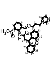 C[S+]([O-])c1cccc(COCCCn2ccnc2)c1NC(=O)CC1c2ccccc2Oc2ccccc21